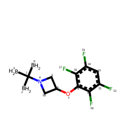 BC(B)(B)N1CC(Oc2c(F)c(F)cc(F)c2F)C1